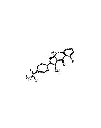 CS(=O)(=O)N1CCC(C2N=C(N)N(C(=O)c3c(F)cccc3F)N2N)CC1